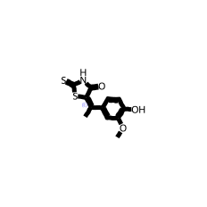 COc1cc(/C(C)=C2/SC(=S)NC2=O)ccc1O